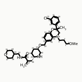 COCCCN1CC(C)(c2cccc(Cl)c2)Oc2ccc(CO[C@@H]3CC[C@@H](CC(C)C(=O)NCC4CCOCC4)NC3)cc21